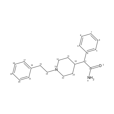 NC(=O)C(c1ccccc1)C1CCN(CCc2ccccc2)CC1